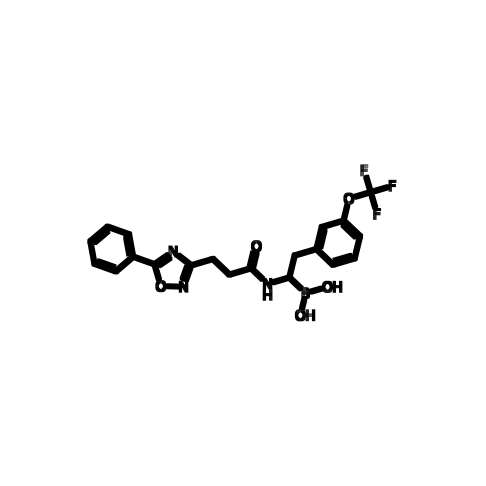 O=C(CCc1noc(-c2ccccc2)n1)NC(Cc1cccc(OC(F)(F)F)c1)B(O)O